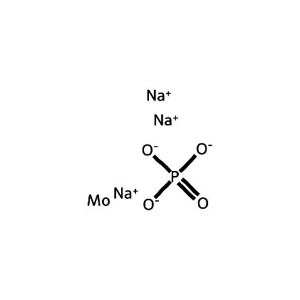 O=P([O-])([O-])[O-].[Mo].[Na+].[Na+].[Na+]